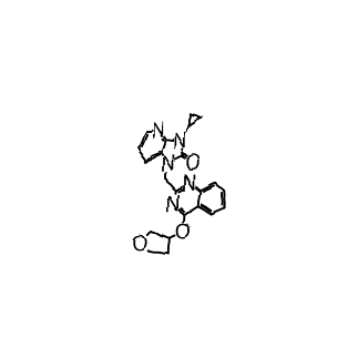 O=c1n(Cc2nc(OC3CCOC3)c3ccccc3n2)c2cccnc2n1C1CC1